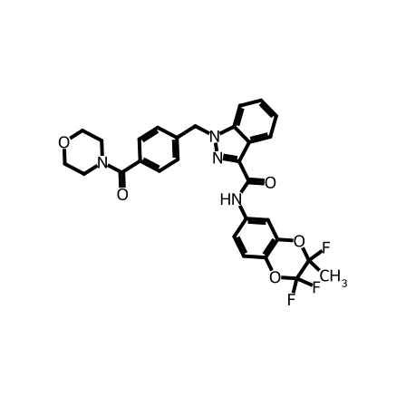 CC1(F)Oc2cc(NC(=O)c3nn(Cc4ccc(C(=O)N5CCOCC5)cc4)c4ccccc34)ccc2OC1(F)F